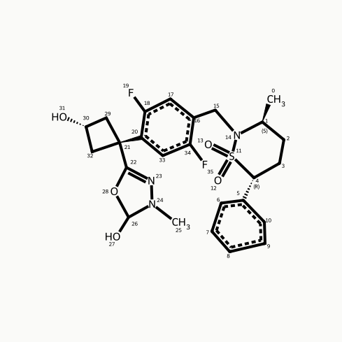 C[C@H]1CC[C@H](c2ccccc2)S(=O)(=O)N1Cc1cc(F)c([C@]2(C3=NN(C)C(O)O3)C[C@@H](O)C2)cc1F